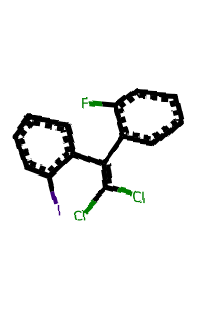 Fc1ccccc1C(=C(Cl)Cl)c1ccccc1I